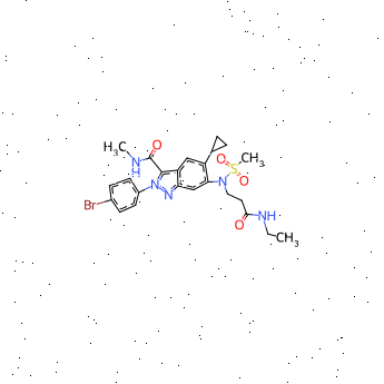 CCNC(=O)CCN(c1cc2nn(-c3ccc(Br)cc3)c(C(=O)NC)c2cc1C1CC1)S(C)(=O)=O